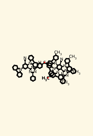 Cc1ccc2c(c1)c1cc(C)ccc1n2-c1c(C#N)c(-n2c3ccc(C)cc3c3cc(C)ccc32)c(-n2c3ccc(C)cc3c3cc(Cc4ccc(-c5nc(-c6ccccc6)nc(-c6cc(-n7c8ccccc8c8ccccc87)cc(C#N)c6-n6c7ccccc7c7ccccc76)n5)cc4)ccc32)c(-n2c3ccc(C)cc3c3cc(C)ccc32)c1-c1nc(-c2ccccc2)nc(-c2ccccc2)n1